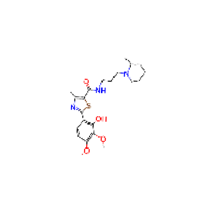 COc1ccc(-c2nc(C)c(C(=O)NCCCN3CCCCC3C)s2)c(O)c1OC